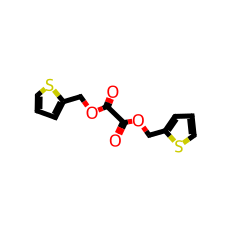 O=C(OCc1cccs1)C(=O)OCc1cccs1